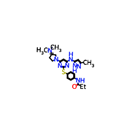 CCC(=O)Nc1ccc(Sc2nc(Nc3cc(C)n[nH]3)cc(N3CC[C@@H](N(C)C)C3)n2)cc1